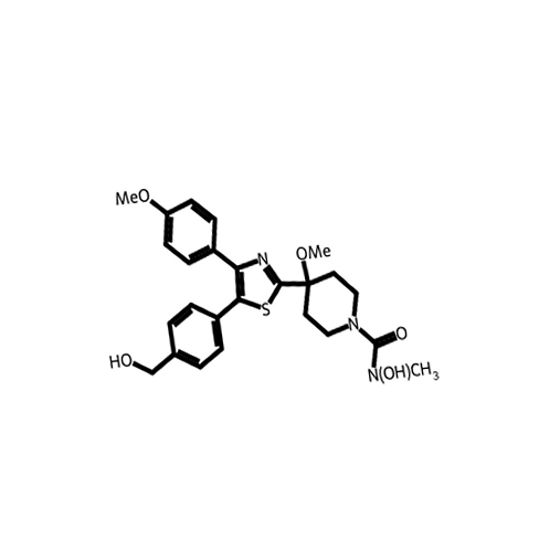 COc1ccc(-c2nc(C3(OC)CCN(C(=O)N(C)O)CC3)sc2-c2ccc(CO)cc2)cc1